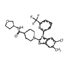 Cc1cc2nc(N3CCC(C(=O)NC4CCOC4)CC3)n(-c3cccc(C(F)(F)F)n3)c2cc1Cl